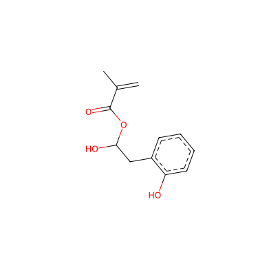 C=C(C)C(=O)OC(O)Cc1ccccc1O